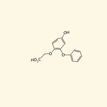 O=C(O)COc1ccc(O)cc1Oc1ccccc1